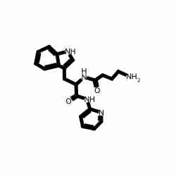 NCCCC(=O)NC(Cc1c[nH]c2ccccc12)C(=O)Nc1ccccn1